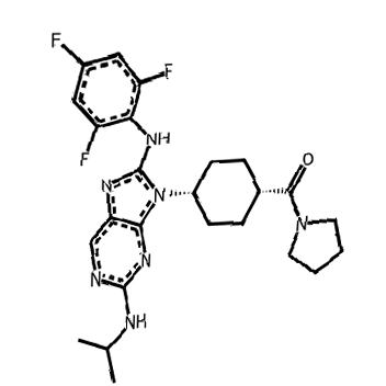 CC(C)Nc1ncc2nc(Nc3c(F)cc(F)cc3F)n([C@H]3CC[C@@H](C(=O)N4CCCC4)CC3)c2n1